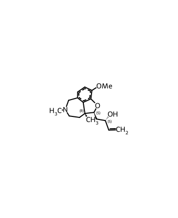 C=C[C@@H](O)C[C@@H]1Oc2c(OC)ccc3c2[C@@]1(C)CCN(C)C3